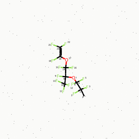 [CH2]C(F)(F)C(F)(F)OC(F)(C(F)(F)F)C(F)(F)OC(F)=C(F)F